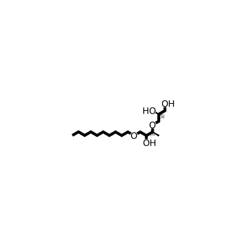 CCCCCCCCCCOCC(O)[C@H](C)OC[C@@H](O)CO